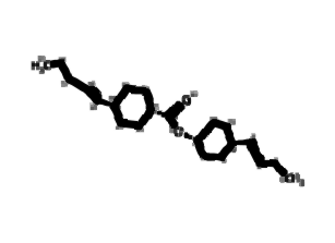 CCC=C[C@H]1CC[C@H](OC(=O)[C@H]2CC[C@H](C=CCCC)CC2)CC1